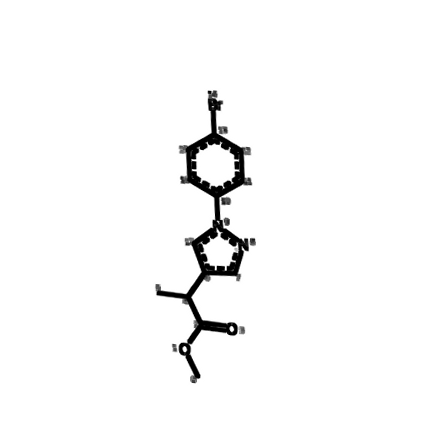 COC(=O)C(C)c1cnn(-c2ccc(Br)cc2)c1